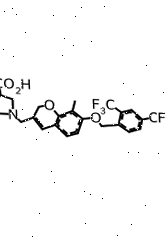 Cc1c(OCc2ccc(C(F)(F)F)cc2C(F)(F)F)ccc2c1OCC(CN1CCC(C(=O)O)C1)=C2